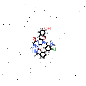 C[C@@H](NC(=O)N1C2CN(Cc3cccc(Cl)c3N(C)C)C(=O)[C@H](Cc3ccc(O)cc3)N2C(=O)CN1C)c1ccccc1